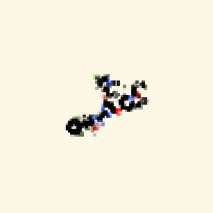 C=CC(=O)N1CC[C@H](Oc2cc(O[C@@H](C)[C@@H]3C[C@H](F)CN3C)nc(-c3noc(C(C)(C)c4c(F)cccc4F)n3)n2)C[C@H]1CC#N